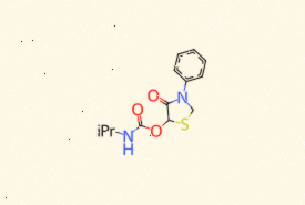 CC(C)NC(=O)OC1SCN(c2ccccc2)C1=O